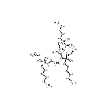 CCOP(=O)(OCC)SCCSCC.CCOP(=S)(OCC)OCCSCC.COP(=O)(OC)SCCSC